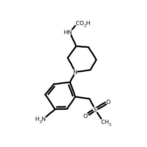 CS(=O)(=O)Cc1cc(N)ccc1N1CCCC(NC(=O)O)C1